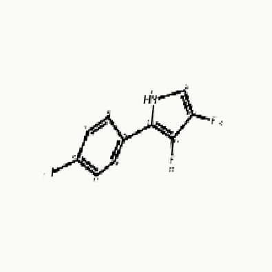 Fc1c[nH]c(-c2ccc(I)cc2)c1F